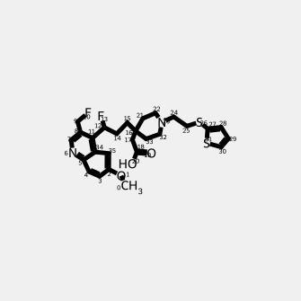 COc1ccc2ncc(CF)c(C(F)CCC3(CC(=O)O)CCN(CCSc4cccs4)CC3)c2c1